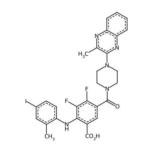 Cc1cc(I)ccc1Nc1c(C(=O)O)cc(C(=O)N2CCN(c3nc4ccccc4nc3C)CC2)c(F)c1F